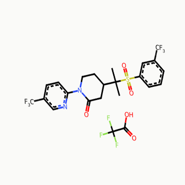 CC(C)(C1CCN(c2ccc(C(F)(F)F)cn2)C(=O)C1)S(=O)(=O)c1cccc(C(F)(F)F)c1.O=C(O)C(F)(F)F